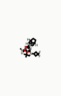 CNc1nc(N[C@@H]2[C@@H]3CC[C@H]2CN(c2nnc(C)o2)C3)nc2c1C(C)(C)CN2C1CC(F)(F)C1